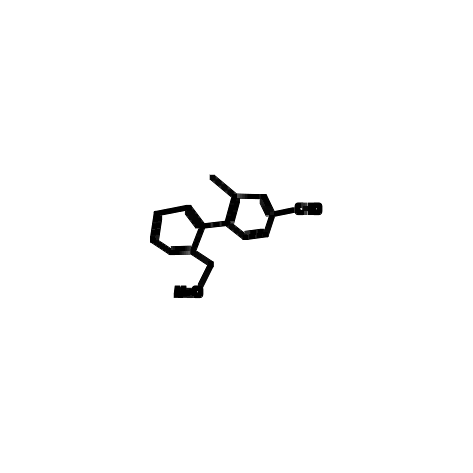 COCc1ccccc1-c1ccc(C=O)cc1C